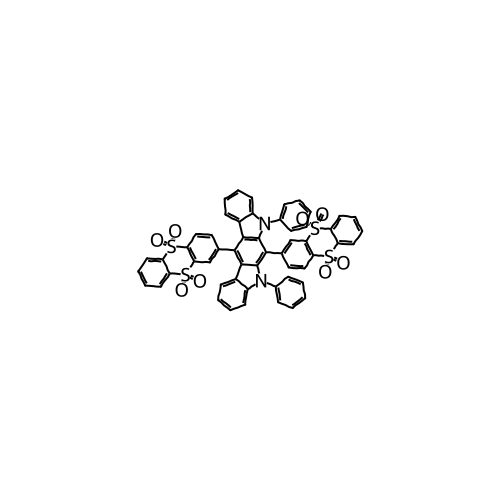 O=S1(=O)c2ccccc2S(=O)(=O)c2cc(-c3c4c5ccccc5n(-c5ccccc5)c4c(-c4ccc5c(c4)S(=O)(=O)c4ccccc4S5(=O)=O)c4c3c3ccccc3n4-c3ccccc3)ccc21